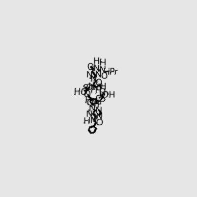 CC(C)C(=O)Nc1nc2c(ncn2[C@@H]2O[C@@H]3COP(O)(=S)O[C@H]4[C@@H](F)[C@H](n5cnc6c(NC(=O)c7ccccc7)ncnc65)O[C@@H]4COP(O)(=S)O[C@@H]2[C@@H]3F)c(=O)[nH]1